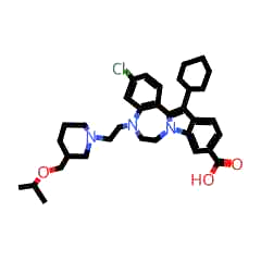 CC(C)OCC1CCCN(CCN2CCn3c(c(C4CCCCC4)c4ccc(C(=O)O)cc43)-c3ccc(Cl)cc32)C1